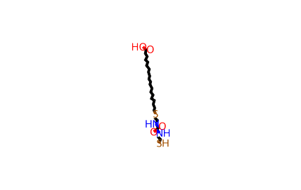 O=C(O)CCCCCCCCCCCCCCCCCCCSCCNC(=O)C(=O)NCCS